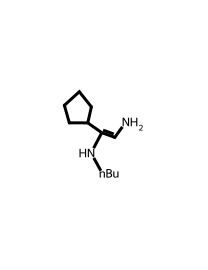 CCCCN/C(=C/N)C1CCCC1